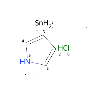 Cl.[SnH2].c1cc[nH]c1